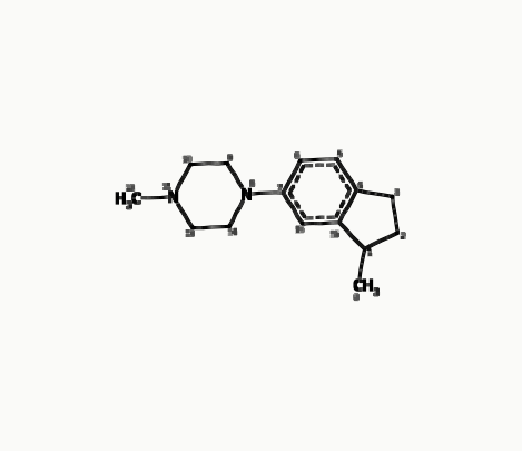 C[C]1CCc2ccc(N3CCN(C)CC3)cc21